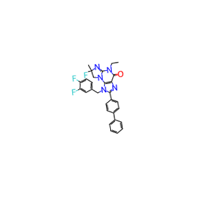 CCN1C(=O)c2nc(-c3ccc(-c4ccccc4)cc3)n(Cc3cc(F)c(F)c(F)c3)c2N2CC(C)(C)N=C12